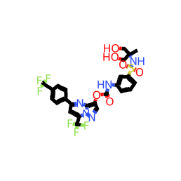 CC(CO)(CO)NS(=O)(=O)c1cccc(NC(=O)Oc2cnn3c(C(F)(F)F)cc(-c4ccc(C(F)(F)F)cc4)nc23)c1